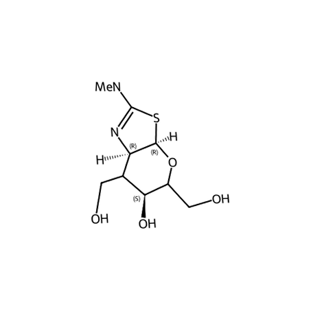 CNC1=N[C@@H]2C(CO)[C@H](O)C(CO)O[C@@H]2S1